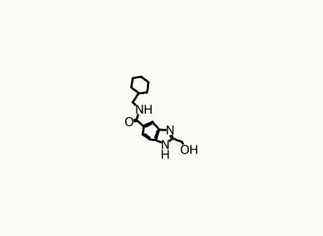 O=C(NCC1CCCCC1)c1ccc2[nH]c(CO)nc2c1